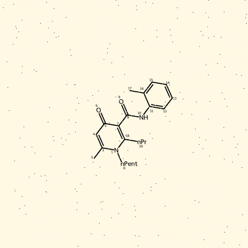 CCCCCn1c(C)cc(=O)c(C(=O)Nc2ccccc2C)c1CCC